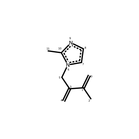 C=C(C)C(=C)Cn1ccnc1C